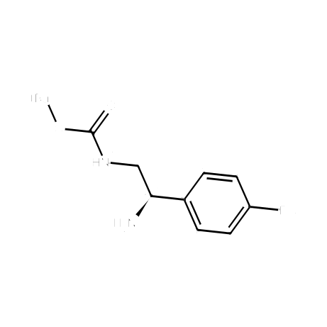 CC(C)(C)OC(=O)NC[C@H](N)c1ccc(F)cc1